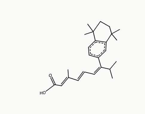 CC(/C=C/C=C(\c1ccc2c(c1)C(C)(C)CCC2(C)C)C(C)C)=C\C(=O)O